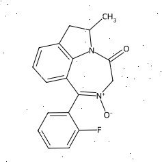 CC1Cc2cccc3c2N1C(=O)C[N+]([O-])=C3c1ccccc1F